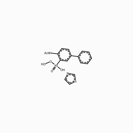 CC(=O)Nc1ccc(-c2ccccc2)cc1[As](=O)(O)OO.c1cscn1